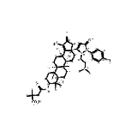 CC(C)C1=C2[C@H]3CC[C@@H]4[C@@]5(C)CC[C@H](OC(=O)CC(C)(C)C(=O)O)C(C)(C)[C@@H]5CC[C@@]4(C)[C@]3(C)CC[C@@]2(c2cc(=O)n(-c3ccc(Cl)cc3)n2CCN(C)C)CC1=O